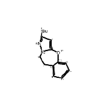 CC(C)(C)c1cc2n(n1)CCc1ccccc1O2